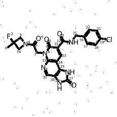 CC1(F)CN(C(=O)Cn2c(=O)c(C(=O)NCc3ccc(Cl)cc3)cc3c4[nH]c(=O)[nH]c4cnc32)C1